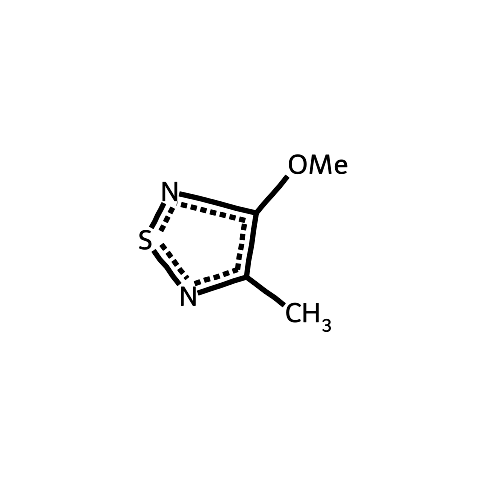 COc1nsnc1C